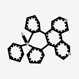 S=P1(c2ccccc2)c2ccccc2-c2c(c3ccncc3c3cnccc23)-c2ccccc21